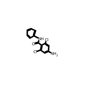 Nc1cc(Cl)c(C(=O)Nc2ccccc2)c(Cl)c1